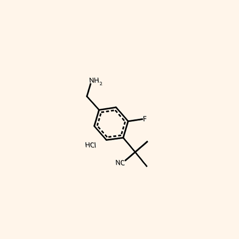 CC(C)(C#N)c1ccc(CN)cc1F.Cl